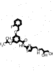 CC(C)Oc1cc(OCc2ccccc2F)cc(C(=O)Nc2nc(CNCC(O)CO)cs2)c1